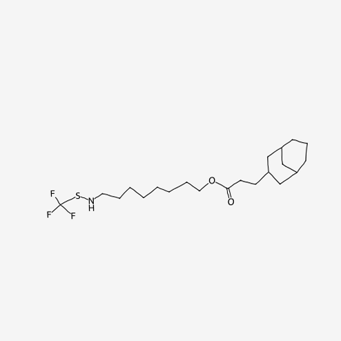 O=C(CCC1CC2CCCC(C2)C1)OCCCCCCCCNSC(F)(F)F